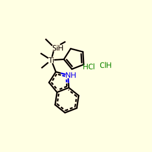 C[SiH](C)[Ti]([CH3])([CH3])([C]1=CC=CC1)[c]1cc2ccccc2[nH]1.Cl.Cl